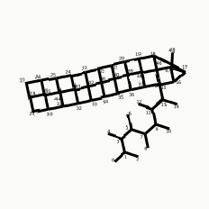 CC(C)C(C)C(C)C(C)C(C)C(C)C(C)C12C3C4C5C6C7C8C9C%10C%11C%12C%13CC%14CC%15C%16C%17C%18C%19C%20C%21C1C6(C7%21C8%20C9%19C%10%18C%11%17C%12%16C%14%13%15)C52C43C